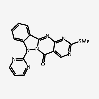 CSc1ncc2c(=O)n3c(nc2n1)c1ccccc1n3-c1ncccn1